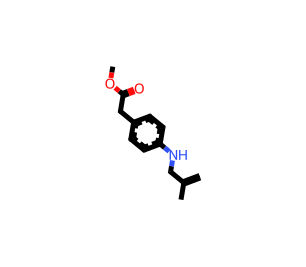 C=C(C)CNc1ccc(CC(=O)OC)cc1